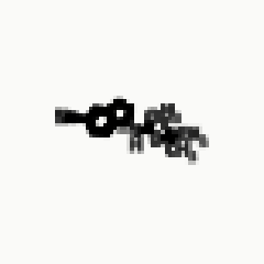 CC(C)(C)OC(=O)N[C@H]1CCc2cc(C#N)ccc21